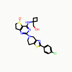 [O-][S@+]1CCc2nc(N3CCc4sc(-c5ccc(Cl)cc5)nc4C3)nc(NC3(CO)CCC3)c21